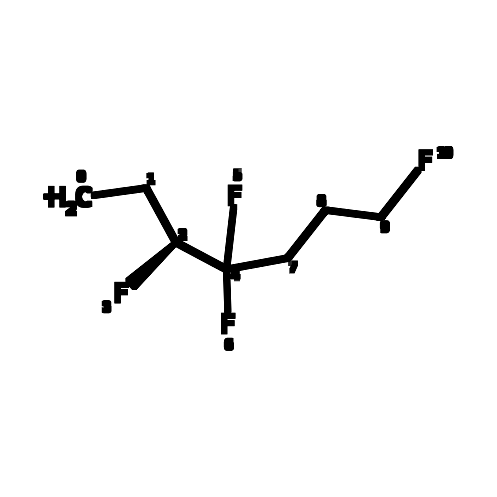 [CH2]C[C@H](F)C(F)(F)CCCF